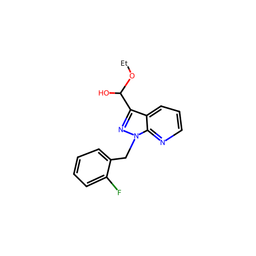 CCOC(O)c1nn(Cc2ccccc2F)c2ncccc12